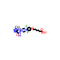 Cn1nnc2c(=O)[nH]c(N3CCN(c4c(F)cc(OCCCCCC(=O)O)cc4F)CC3)nc21